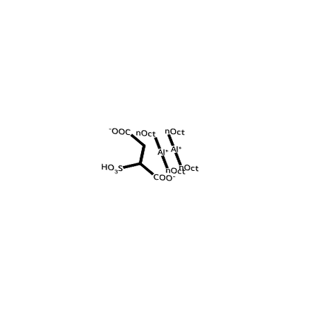 CCCCCCC[CH2][Al+][CH2]CCCCCCC.CCCCCCC[CH2][Al+][CH2]CCCCCCC.O=C([O-])CC(C(=O)[O-])S(=O)(=O)O